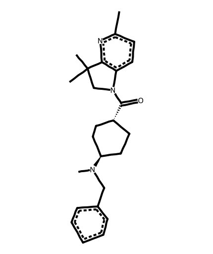 Cc1ccc2c(n1)C(C)(C)CN2C(=O)[C@H]1CC[C@H](N(C)Cc2ccccc2)CC1